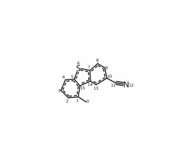 Cc1cccc2sc3ccc(C#N)cc3c12